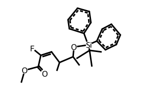 COC(=O)/C(F)=C\C(C)C(C)O[Si](c1ccccc1)(c1ccccc1)C(C)(C)C